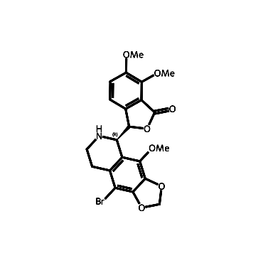 COc1ccc2c(c1OC)C(=O)OC2[C@@H]1NCCc2c(Br)c3c(c(OC)c21)OCO3